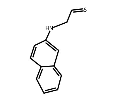 S=CCNc1ccc2ccccc2c1